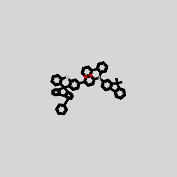 CC1(C)c2ccccc2-c2ccc(N(c3ccc(-c4ccc5c(c4)Oc4ccccc4C54c5ccccc5-c5c(-c6ccccc6)cccc54)cc3)c3ccccc3-c3ccccc3)cc21